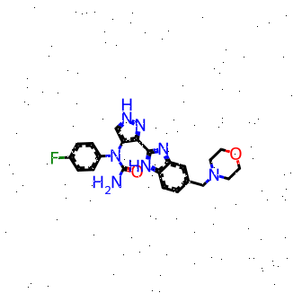 NC(=O)N(c1ccc(F)cc1)c1c[nH]nc1-c1nc2cc(CN3CCOCC3)ccc2[nH]1